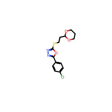 Clc1ccc(-c2nnc(SCCC3OCCCO3)o2)cc1